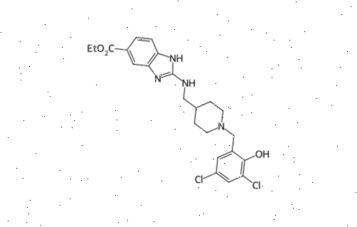 CCOC(=O)c1ccc2[nH]c(NCC3CCN(Cc4cc(Cl)cc(Cl)c4O)CC3)nc2c1